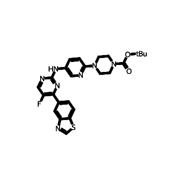 CC(C)(C)OC(=O)N1CCN(c2ccc(Nc3ncc(F)c(-c4ccc5scnc5c4)n3)cn2)CC1